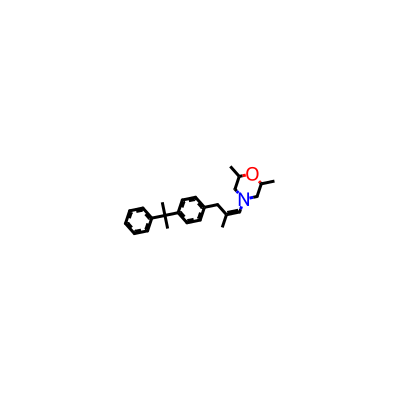 CC(=CN1CC(C)OC(C)C1)Cc1ccc(C(C)(C)c2ccccc2)cc1